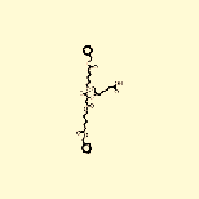 O=C(O)CCCCC(=O)OC(CC(=O)OCCCCCC(=O)OCc1ccccc1)C(=O)OCCCCCC(=O)OCc1ccccc1